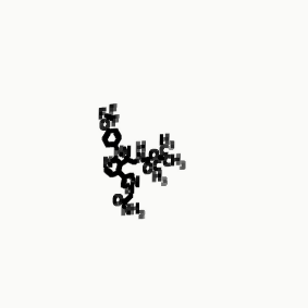 CC(C)(C)OC(=O)NCc1nn(-c2ccc(OC(F)(F)F)cc2)c2nccc(-c3cnn(CC(N)=O)c3)c12